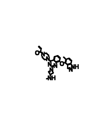 C=CC(=O)N1CCN(c2nc(N3CC(NC)C3)nc3c(Oc4c(C)ccc5[nH]ncc45)cccc23)CC1